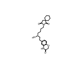 CCCN(CCCCN1C(=O)CC2(CCCCC2)C1=O)CCc1ccc2c(c1)NC(=O)CO2